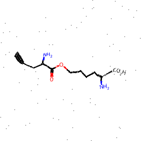 C#CCC(N)C(=O)OCCCC[C@H](N)C(=O)O